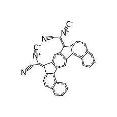 [C-]#[N+]/C(C#N)=C1/c2cc3c(cc2-c2c1ccc1ccccc21)-c1c(ccc2ccccc12)/C3=C(\C#N)[N+]#[C-]